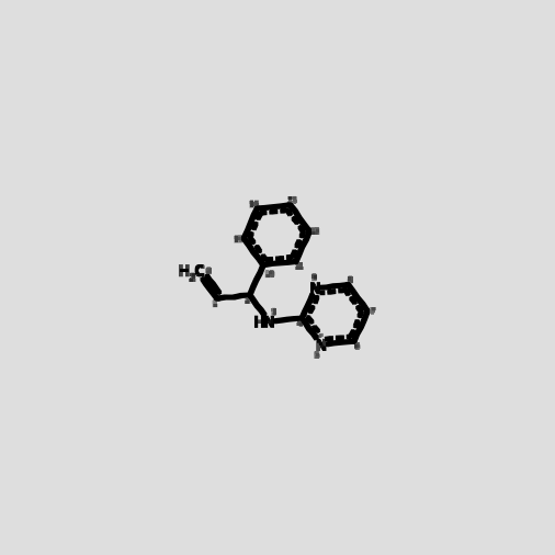 C=CC(Nc1ncccn1)c1ccccc1